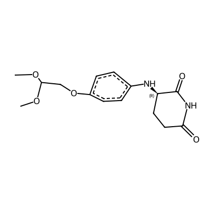 COC(COc1ccc(N[C@@H]2CCC(=O)NC2=O)cc1)OC